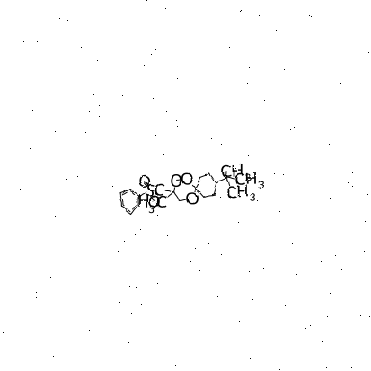 CC1(CS(=O)(=O)c2ccccc2)COC2(CCC(C(C)(C)C)CC2)OO1